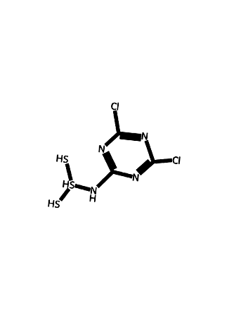 S[SH](S)Nc1nc(Cl)nc(Cl)n1